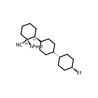 CCCCC[C@@]1(C#N)CCCC[C@H]1C1CCC([C@H]2CC[C@H](CC)CC2)CC1